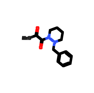 COC(=O)C(=O)N1CCCCN1Cc1ccccc1